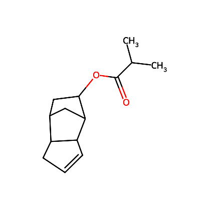 CC(C)C(=O)OC1CC2CC1C1C=CCC21